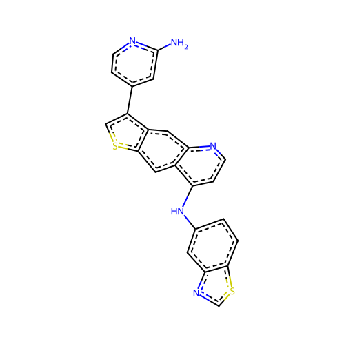 Nc1cc(-c2csc3cc4c(Nc5ccc6scnc6c5)ccnc4cc23)ccn1